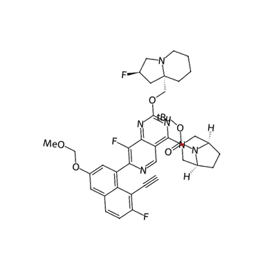 C#Cc1c(F)ccc2cc(OCOC)cc(-c3ncc4c(N5C[C@H]6CC[C@@H](C5)N6C(=O)OC(C)(C)C)nc(OC[C@@]56CCCCN5C[C@H](F)C6)nc4c3F)c12